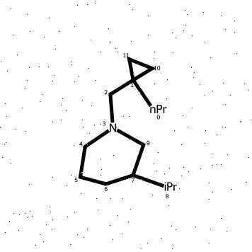 CCCC1(CN2CCCC(C(C)C)C2)CC1